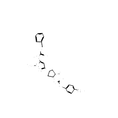 CC(C)(C)n1nc([C@H]2C[C@@H](F)[C@@H](OC(=O)Oc3ccc([N+](=O)[O-])cc3)C2)cc1NC(=O)OCc1ccccc1